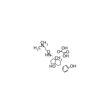 CN(C)CCONC[C@H]1CC[C@]2(O)C[C@@H](c3cccc(O)c3)CC[C@]12C.O=C(O)C(=O)O